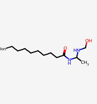 CCCCCCCCCCCCCCCCCC(=O)NC(C)NCO